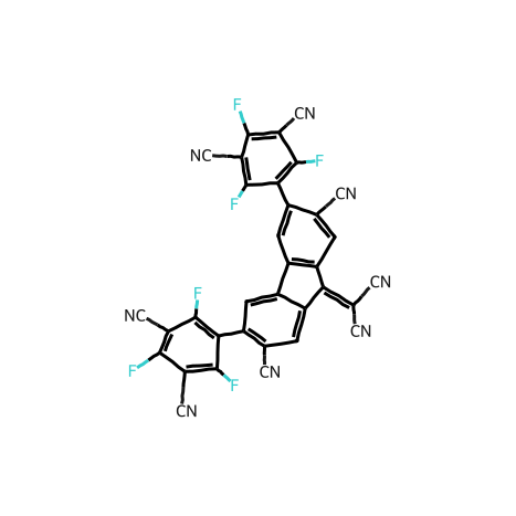 N#CC(C#N)=C1c2cc(C#N)c(-c3c(F)c(C#N)c(F)c(C#N)c3F)cc2-c2cc(-c3c(F)c(C#N)c(F)c(C#N)c3F)c(C#N)cc21